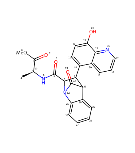 COC(=O)[C@H](C)NC(=O)C1C(c2ccc(O)c3ncccc23)C2C(=O)N1c1ccccc12